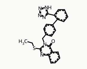 CCSc1nc2ccccc2c(=O)n1Cc1ccc(-c2ccccc2-c2nnn[nH]2)cc1